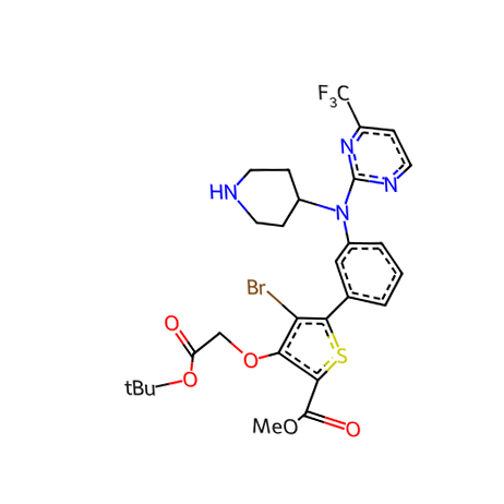 COC(=O)c1sc(-c2cccc(N(c3nccc(C(F)(F)F)n3)C3CCNCC3)c2)c(Br)c1OCC(=O)OC(C)(C)C